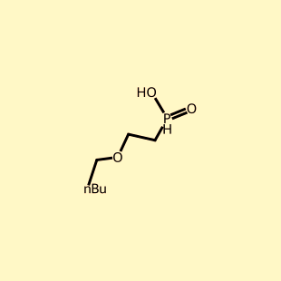 CCCCCOCC[PH](=O)O